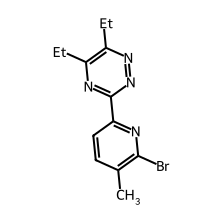 CCc1nnc(-c2ccc(C)c(Br)n2)nc1CC